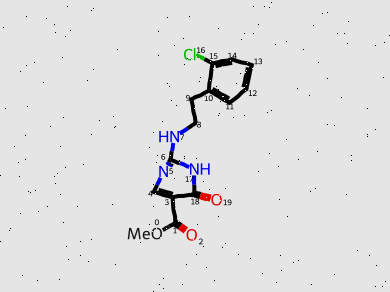 COC(=O)c1cnc(NCCc2ccccc2Cl)[nH]c1=O